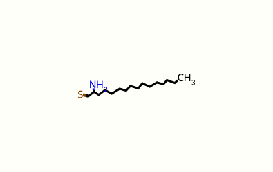 CCCCCCCCCCCCCCC(N)C=S